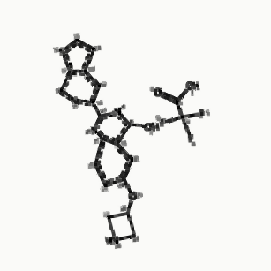 O=C(O)C(F)(F)F.Oc1nc(-c2cc3ccsc3cn2)nc2ccc(OC3CNC3)cc12